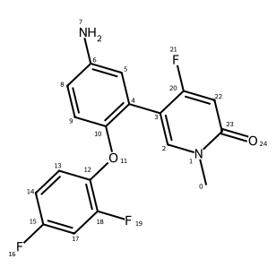 Cn1cc(-c2cc(N)ccc2Oc2ccc(F)cc2F)c(F)cc1=O